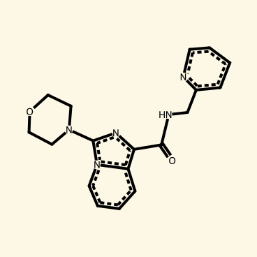 O=C(NCc1ccccn1)c1nc(N2CCOCC2)n2ccccc12